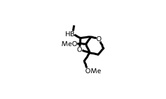 CBC1OC2(COC)CCOC1C2OC